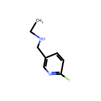 CCNCc1ccc(F)nc1